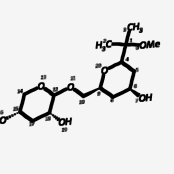 COC(C)(C)C1C[C@@H](O)C[C@@H](COC2OC[C@@H](O)C[C@H]2O)O1